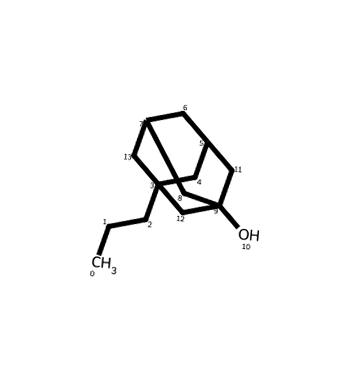 CCCC12CC3CC(CC(O)(C3)C1)C2